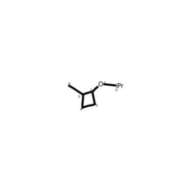 CC(C)OC1CCC1C